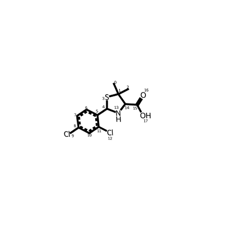 CC1(C)SC(c2ccc(Cl)cc2Cl)NC1C(=O)O